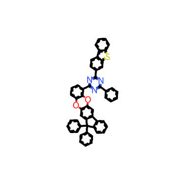 c1ccc(-c2nc(-c3ccc4c(c3)sc3ccccc34)nc(-c3cccc4c3Oc3cc5c(cc3O4)C(c3ccccc3)(c3ccccc3)c3ccccc3-5)n2)cc1